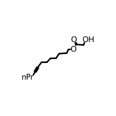 CCCC#CCCCCCCCOC(=O)CO